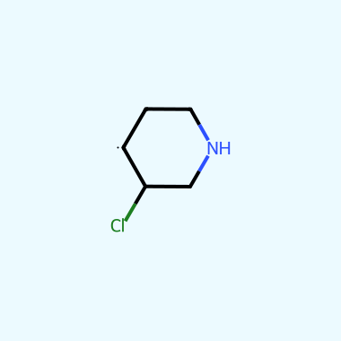 ClC1[CH]CCNC1